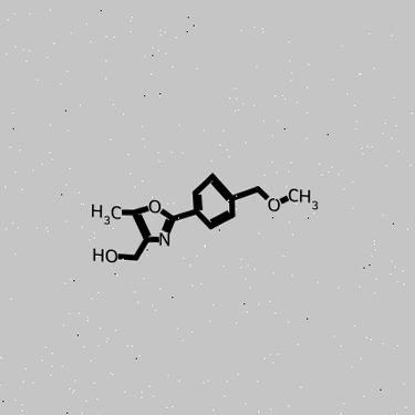 COCc1ccc(-c2nc(CO)c(C)o2)cc1